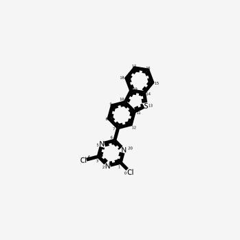 Clc1nc(Cl)nc(-c2ccc3c(c2)sc2ccccc23)n1